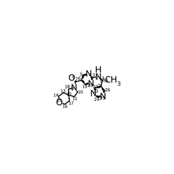 C[C@@H](Nc1ncc(C(=O)N2CCC3(CCOCC3)C2)cn1)c1cncnc1